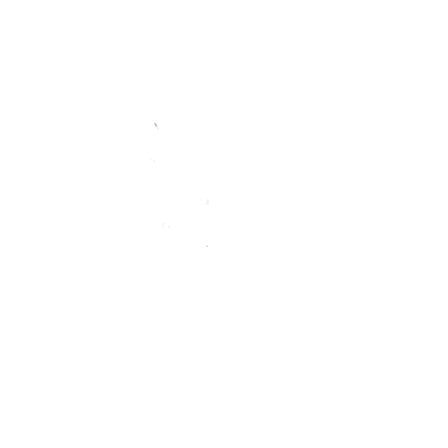 CCC(C)CC(NC(=N)NC(=O)Cc1ccc(OC)c(OC)c1)C(=O)N[C@@H](C)CC